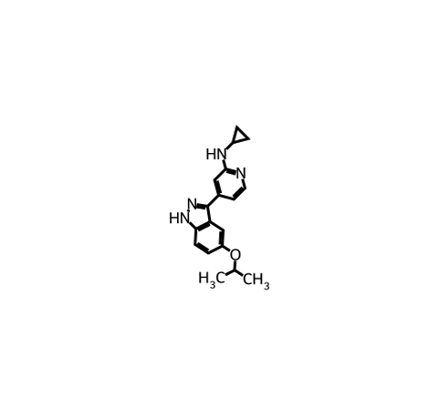 CC(C)Oc1ccc2[nH]nc(-c3ccnc(NC4CC4)c3)c2c1